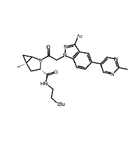 CC(=O)c1nn(CC(=O)N2C3C[C@]3(C)C[C@H]2C(=O)NCCC(C)(C)C)c2ccc(-c3cnc(C)nc3)cc12